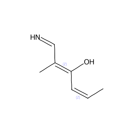 C/C=C\C(O)=C(/C)C=N